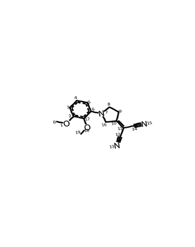 COc1cccc(N2CCC(=C(C#N)C#N)C2)c1OC